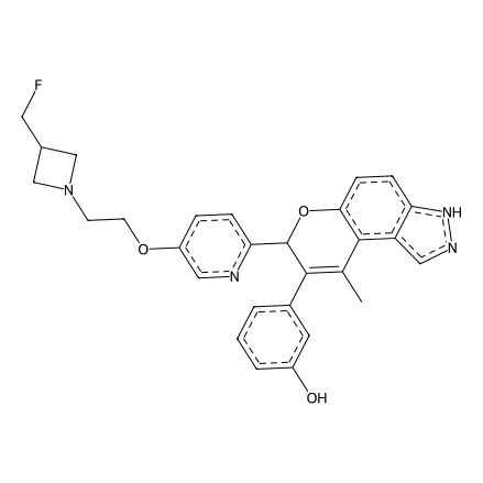 CC1=C(c2cccc(O)c2)C(c2ccc(OCCN3CC(CF)C3)cn2)Oc2ccc3[nH]ncc3c21